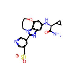 NC(=O)[C@@H](Nc1cc2c3c(c1)nc(-c1cncc(C[SH](=O)=O)c1)n3CCCO2)C1CC1